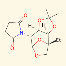 CC[C@@]12COC(O1)[C@H](N1C(=O)CCC1=O)[C@H]1OC(C)(C)O[C@H]12